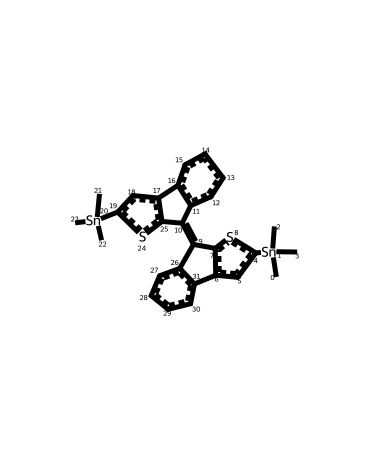 [CH3][Sn]([CH3])([CH3])[c]1cc2c(s1)/C(=C1\c3ccccc3-c3c[c]([Sn]([CH3])([CH3])[CH3])sc31)c1ccccc1-2